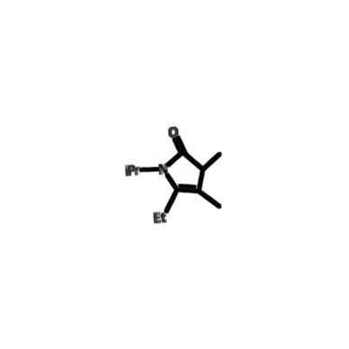 CCC1=C(C)C(C)C(=O)N1C(C)C